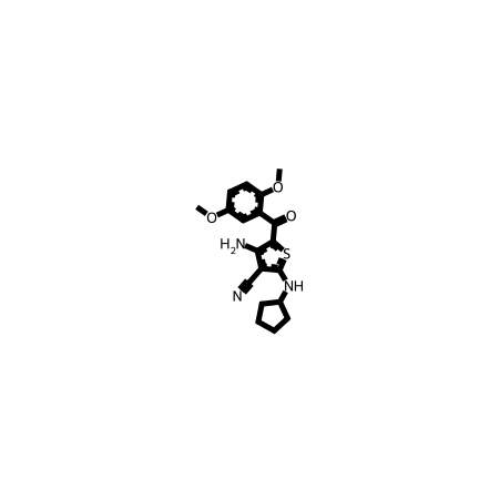 COc1ccc(OC)c(C(=O)c2sc(NC3CCCC3)c(C#N)c2N)c1